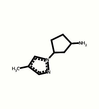 Cc1cnn(C2CCC(N)C2)c1